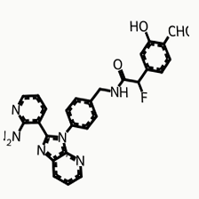 Nc1ncccc1-c1nc2cccnc2n1-c1ccc(CNC(=O)C(F)c2ccc(C=O)c(O)c2)cc1